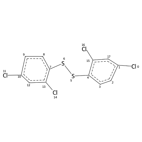 Clc1ccc(SSc2ccc(Cl)cc2Cl)c(Cl)c1